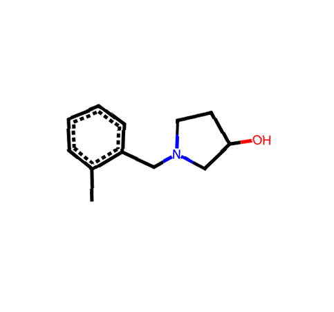 Cc1ccccc1CN1CCC(O)C1